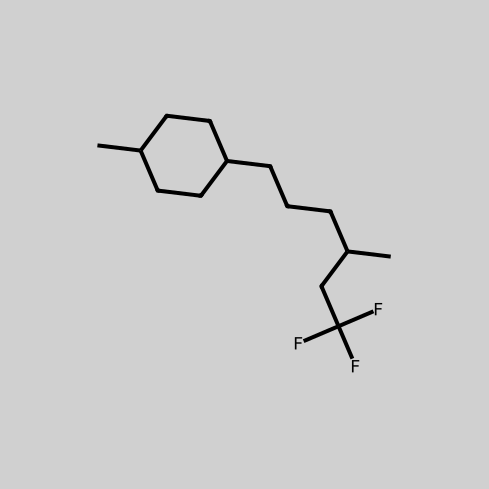 CC1CCC(CCCC(C)CC(F)(F)F)CC1